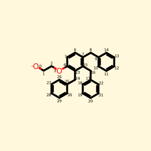 [O]CCOc1ccc(Cc2ccccc2)c(Cc2ccccc2)c1Cc1ccccc1